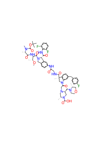 CO[C@H](C)[C@H](NC(=O)[C@H](C)N(C)C(=O)OC(C)(C)C)C(=O)N1Cc2ccc(NC(=O)CNC(=O)[C@]3(C)CN(C(=O)CN4C[C@@H](C)N(C(=O)O)C[C@@H]4CN4CCOC[C@H]4C)c4cc(Cc5ccc(F)cc5)ccc43)cc2[C@H]1C(=O)Nc1c(F)cccc1F